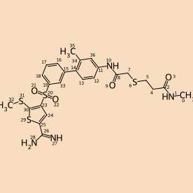 CNC(=O)CCSCC(=O)Nc1ccc(-c2cccc(S(=O)(=O)c3cc(C(=N)N)sc3SC)c2)c(C)c1